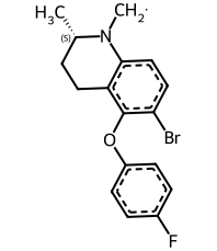 [CH2]N1c2ccc(Br)c(Oc3ccc(F)cc3)c2CC[C@@H]1C